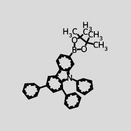 CC1(C)OB(c2ccc3c4cc(-c5ccccc5)cc(-c5ccccc5)c4n(-c4ccccc4)c3c2)OC1(C)C